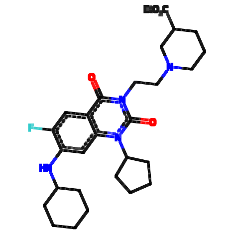 CCOC(=O)C1CCCN(CCn2c(=O)c3cc(F)c(NC4CCCCC4)cc3n(C3CCCC3)c2=O)C1